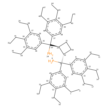 CCc1cc(C(P)(c2cc(CC)c(CC)c(CC)c2)[C@H]2CC[C@@H]2C(P)(c2cc(CC)c(CC)c(CC)c2)c2cc(CC)c(CC)c(CC)c2)cc(CC)c1CC